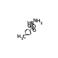 Cc1ccc(S(=O)(=O)OBN)cc1